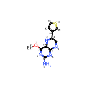 CCOc1nc(N)nc2ncc(-c3ccsc3)nc12